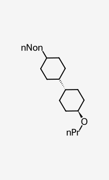 CCCCCCCCCC1CCC([C@H]2CC[C@H](OCCC)CC2)CC1